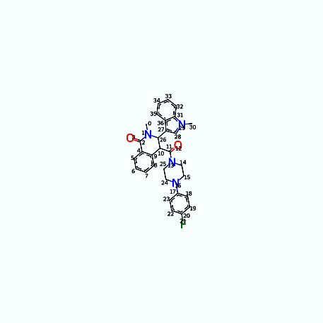 CN1C(=O)c2ccccc2C(C(=O)N2CCN(c3ccc(F)cc3)CC2)C1c1cn(C)c2ccccc12